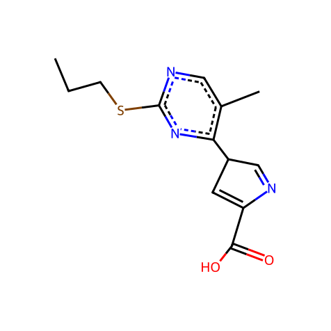 CCCSc1ncc(C)c(C2C=NC(C(=O)O)=C2)n1